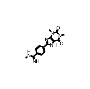 CNC(=N)c1ccc(-c2nc3c([nH]2)c(=O)n(C)c(=O)n3C)cc1